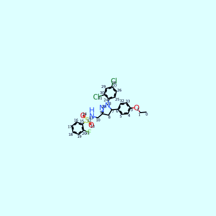 CCOc1ccc(C2CC(CNS(=O)(=O)c3ccccc3F)=NN2c2ccc(Cl)cc2Cl)cc1